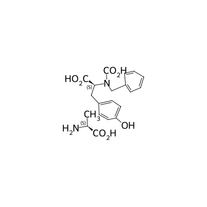 C[C@H](N)C(=O)O.O=C(O)[C@H](Cc1ccc(O)cc1)N(Cc1ccccc1)C(=O)O